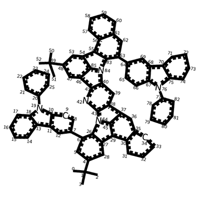 CC(C)(C)c1cc(-c2ccc3c(c2)c2ccccc2n3-c2ccccc2)c2c(c1)c1c3ccccc3cc3c4cc5c(nc4n2c31)c1cc(C(C)(C)C)cc2c3c4ccccc4cc(-c4ccc6c(c4)c4ccccc4n6-c4ccccc4)c3n5c12